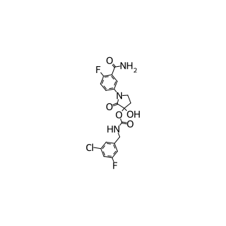 NC(=O)c1cc(N2CCC(O)(OC(=O)NCc3cc(F)cc(Cl)c3)C2=O)ccc1F